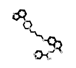 O=c1ccc2ccc(OCCCCN3CCN(c4cccc5sccc45)CC3)cc2n1COC(O)c1ccnnc1